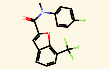 CN(C(=O)c1cc2cccc(C(F)(F)F)c2o1)c1ccc(F)cc1